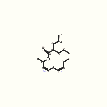 CC/C=C\C/C=C\C(C)OC(=O)C(CCC)CCC